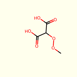 COOC(C(=O)O)C(=O)O